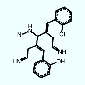 N=CCC(=Cc1ccccc1O)C([NH][Ni])C(=Cc1ccccc1O)CC=N